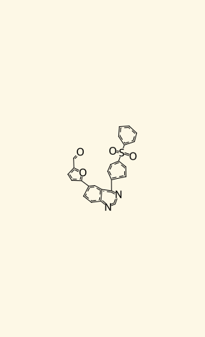 O=Cc1ccc(-c2ccc3ncnc(-c4ccc(S(=O)(=O)c5ccccc5)cc4)c3c2)o1